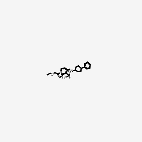 CCOCc1nnc2c(C(F)(F)F)c(CNC3CCC(c4ccccc4)CC3)ccn12